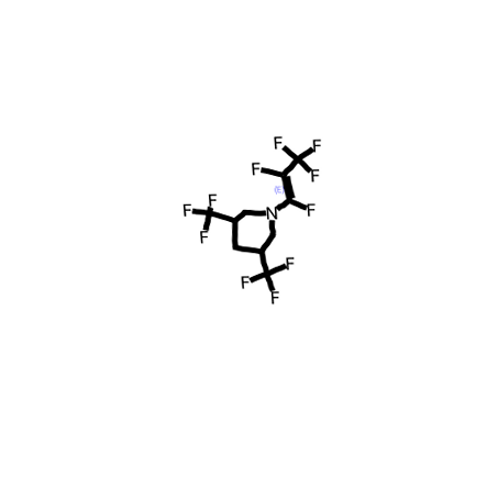 F/C(=C(/F)C(F)(F)F)N1CC(C(F)(F)F)CC(C(F)(F)F)C1